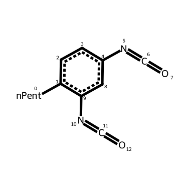 CCCCCc1ccc(N=C=O)cc1N=C=O